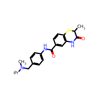 CC1Sc2ccc(C(=O)Nc3ccc(CN(C)C(C)C)cc3)cc2NC1=O